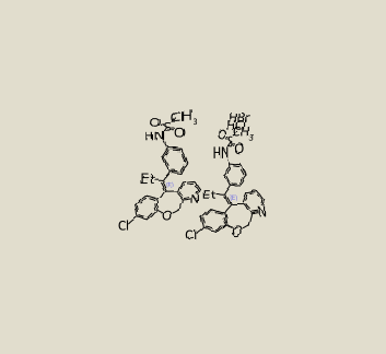 Br.CC/C(=C1\c2ccc(Cl)cc2OCc2ncccc21)c1cccc(NS(C)(=O)=O)c1.CC/C(=C1\c2ccc(Cl)cc2OCc2ncccc21)c1cccc(NS(C)(=O)=O)c1.Cl